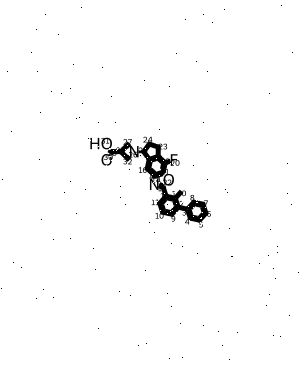 Cc1c(-c2ccccc2)cccc1-c1nc2cc3c(c(F)c2o1)CC[C@@H]3N1CC(C(=O)O)C1